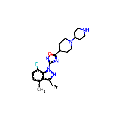 Cc1ccc(F)c2c1c(C(C)C)nn2-c1noc(C2CCN(C3CCNCC3)CC2)n1